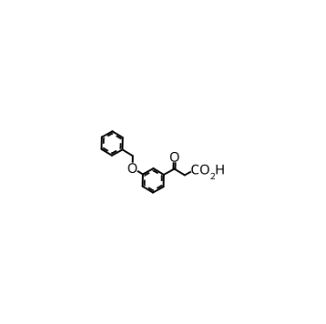 O=C(O)CC(=O)c1cccc(OCc2ccccc2)c1